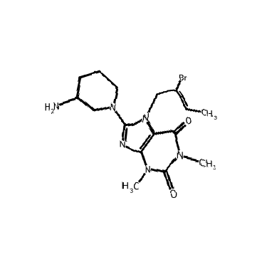 CC=C(Br)Cn1c(N2CCCC(N)C2)nc2c1c(=O)n(C)c(=O)n2C